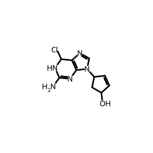 NC1=Nc2c(ncn2C2C=CC(O)C2)C(Cl)N1